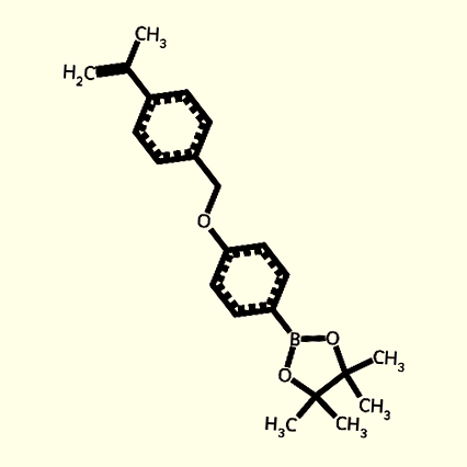 C=C(C)c1ccc(COc2ccc(B3OC(C)(C)C(C)(C)O3)cc2)cc1